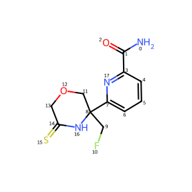 NC(=O)c1cccc(C2(CF)COCC(=S)N2)n1